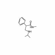 CNC(=O)C(CNC(C)C)c1ccccc1